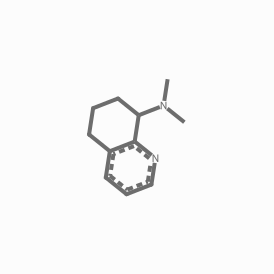 CN(C)C1CCCc2cccnc21